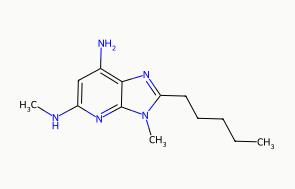 CCCCCc1nc2c(N)cc(NC)nc2n1C